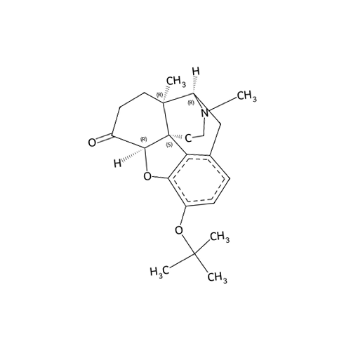 CN1CC[C@]23c4c5ccc(OC(C)(C)C)c4O[C@H]2C(=O)CC[C@@]3(C)[C@H]1C5